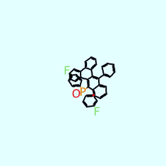 O=P(c1ccc(F)cc1)(c1ccc(F)cc1)c1c2ccccc2c(-c2ccccc2)c2c3ccccc3c3ccccc3c12